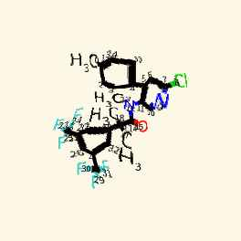 Cc1ccc(-c2cc(Cl)ncc2N(C)C(=O)C(C)(C)c2cc(C(F)(F)F)cc(C(F)(F)F)c2)cc1